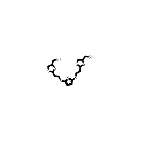 SCC1CSC(CCSc2ccc(SCCC3SCC(CS)S3)s2)S1